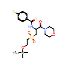 CC(C)(C)[Si](C)(C)OCCS(=O)(=O)CC(NC(=O)c1ccc(F)cc1)C(=O)N1CCOCC1